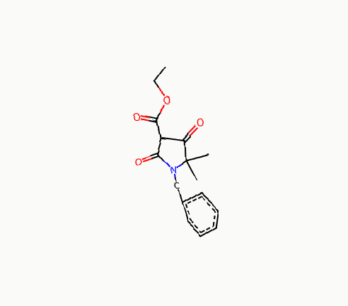 CCOC(=O)C1C(=O)N(Cc2ccccc2)C(C)(C)C1=O